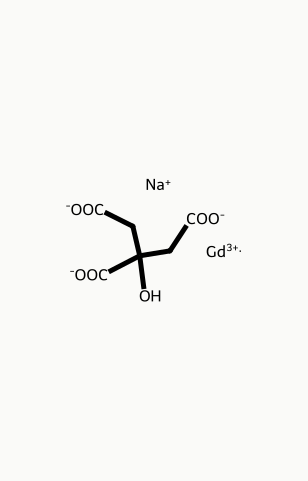 O=C([O-])CC(O)(CC(=O)[O-])C(=O)[O-].[Gd+3].[Na+]